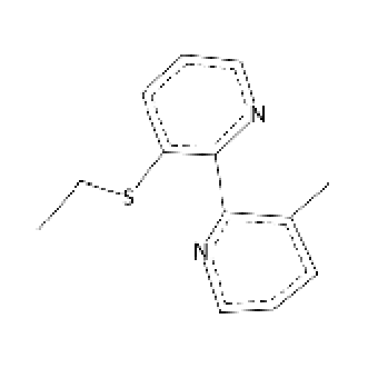 CCSc1cccnc1-c1ncccc1C